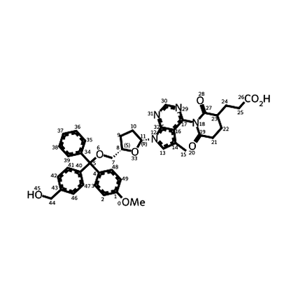 COc1ccc(C(OC[C@@H]2CC[C@H](n3cc(C)c4c(N5C(=O)CCC(CCC(=O)O)C5=O)ncnc43)O2)(c2ccccc2)c2ccc(CO)cc2)cc1